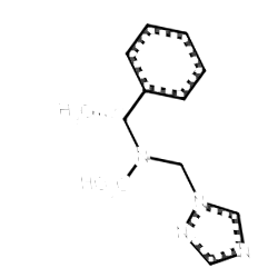 C[C@H](c1ccccc1)N(Cn1cncn1)C(=O)O